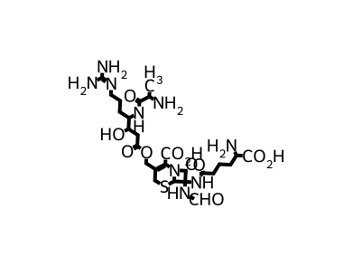 CC(N)C(=O)NC(CCCN=C(N)N)C(O)CC(=O)OCC1=C(C(=O)O)N2C(=O)C(NC=O)(NC(=O)CCCC(N)C(=O)O)C2SC1